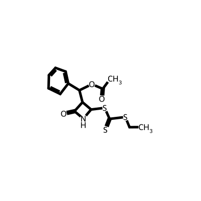 CCSC(=S)SC1NC(=O)C1C(OC(C)=O)c1ccccc1